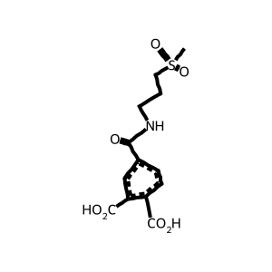 CS(=O)(=O)CCCNC(=O)c1ccc(C(=O)O)c(C(=O)O)c1